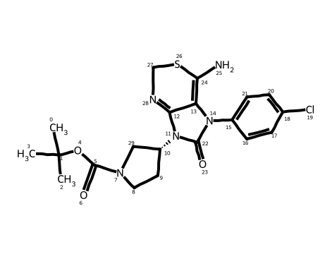 CC(C)(C)OC(=O)N1CC[C@@H](n2c3c(n(-c4ccc(Cl)cc4)c2=O)=C(N)SCN=3)C1